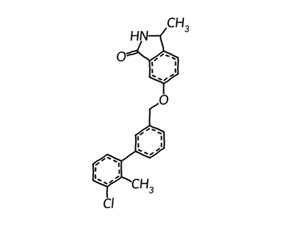 Cc1c(Cl)cccc1-c1cccc(COc2ccc3c(c2)C(=O)NC3C)c1